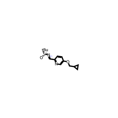 CC(C)(C)[S+]([O-])/N=C/c1ccc(OCC2CC2)cn1